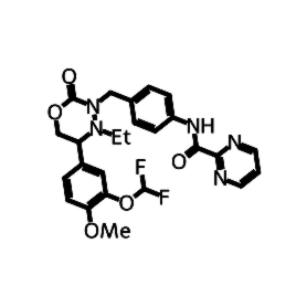 CCN1C(c2ccc(OC)c(OC(F)F)c2)COC(=O)N1Cc1ccc(NC(=O)c2ncccn2)cc1